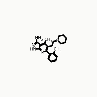 Cc1ccccc1-c1nc2[nH]nc(N)c2c(C)c1CCN1CCCCC1